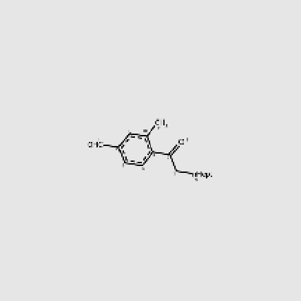 CCCCCCCCC(=O)c1ccc(C=O)cc1C